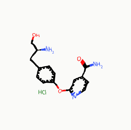 Cl.NC(=O)c1ccnc(Oc2ccc(C[C@H](N)CO)cc2)c1